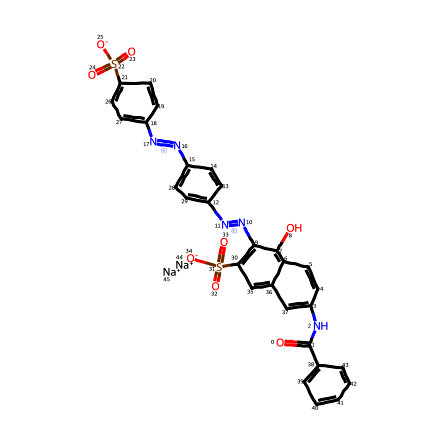 O=C(Nc1ccc2c(O)c(/N=N/c3ccc(/N=N/c4ccc(S(=O)(=O)[O-])cc4)cc3)c(S(=O)(=O)[O-])cc2c1)c1ccccc1.[Na+].[Na+]